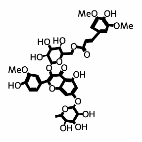 COc1cc(-c2oc3cc(O[C@@H]4OC(C)[C@H](O)C(O)[C@@H]4O)cc(O)c3c(=O)c2O[C@@H]2OC(COC(=O)/C=C/c3cc(OC)c(O)c(OC)c3)[C@@H](O)C(O)[C@@H]2O)ccc1O